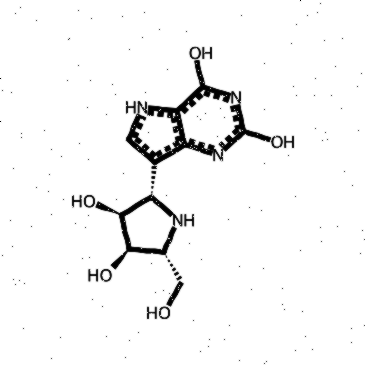 OC[C@H]1N[C@@H](c2c[nH]c3c(O)nc(O)nc23)[C@H](O)[C@@H]1O